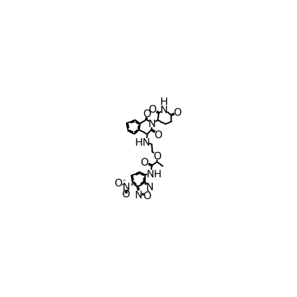 CC(OCCNC1C(=O)N(C2CCC(=O)NC2=O)C(=O)c2ccccc21)C(=O)Nc1ccc([N+](=O)[O-])c2nonc12